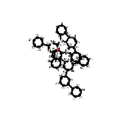 C1=CC2c3ccccc3N(c3nc(-c4ccccc4)nc(-c4ccccc4)n3)C2c2c1c1ccccc1n2-c1ccccc1-c1cc(-c2cccc(-c3ccccc3)c2)cc(-c2ccccc2)n1